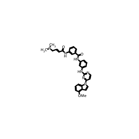 COc1cccc2c1ccn2-c1ccnc(Nc2cccc(NC(=O)c3cccc(NC(=O)/C=C/CN(C)C)c3)c2)n1